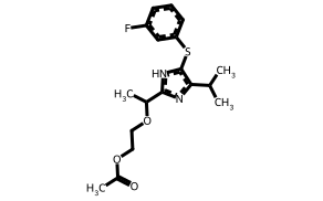 CC(=O)OCCOC(C)c1nc(C(C)C)c(Sc2cccc(F)c2)[nH]1